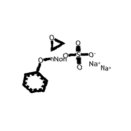 C1CO1.CCCCCCCCCOc1ccccc1.O=S(=O)([O-])[O-].[Na+].[Na+]